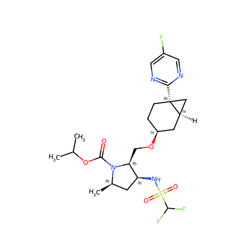 CC(C)OC(=O)N1[C@H](C)C[C@H](NS(=O)(=O)C(F)F)[C@@H]1CO[C@H]1CC[C@@]2(c3ncc(F)cn3)C[C@H]2C1